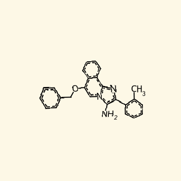 Cc1ccccc1-c1nc2c3ccccc3c(OCc3ccccc3)cn2c1N